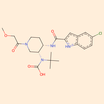 COCC(=O)N1CC[C@H](NC(=O)c2cc3cc(Cl)ccc3[nH]2)[C@H](N(C(=O)O)C(C)(C)C)C1